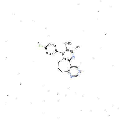 CC(C)c1nc2c(c(-c3ccc(F)cc3)c1C=O)CCCc1ncncc1-2